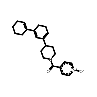 O=C(c1cc[n+]([O-])cc1)N1CCC(C2=CC[CH]C(C3=CCCCC3)=C2)CC1